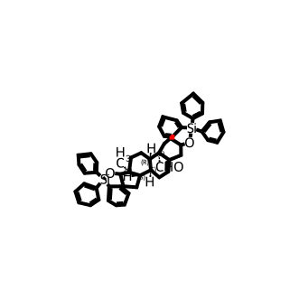 C[C@]12CC[C@@H]3[C@@H](CC=C4CC(O[Si](c5ccccc5)(c5ccccc5)c5ccccc5)CC[C@@]43C=O)[C@@H]1CCC2O[Si](c1ccccc1)(c1ccccc1)c1ccccc1